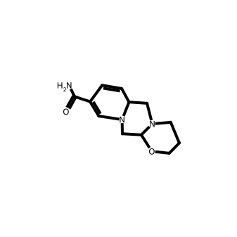 NC(=O)C1=CN2CC3OCCCN3CC2C=C1